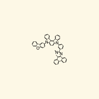 C=N/C(=N\c1c(C)c2ccccc2c2ccccc12)c1cccc(-n2c3ccccc3c3c4c5ccccc5n(-c5ccc6oc7ccccc7c6c5)c4ccc32)c1